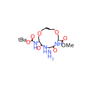 COC(=O)[C@@H]1COC/C=C/COC[C@H](NC(=O)OC(C)(C)C)C(=O)N[C@@H](N)C(=O)N1